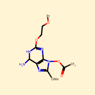 CCOCCOC1=Nc2c(nc(OC)n2OC(=O)C(F)(F)F)C(N)N1